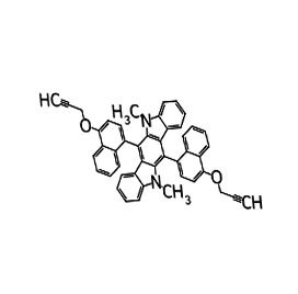 C#CCOc1ccc(-c2c3c4ccccc4n(C)c3c(-c3ccc(OCC#C)c4ccccc34)c3c4ccccc4n(C)c23)c2ccccc12